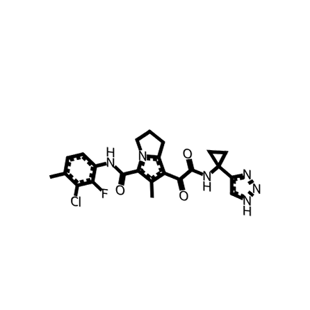 Cc1ccc(NC(=O)c2c(C)c(C(=O)C(=O)NC3(c4c[nH]nn4)CC3)c3n2CCC3)c(F)c1Cl